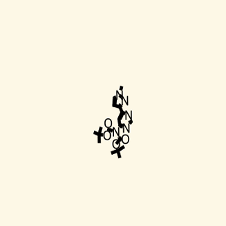 Cn1ccc(-c2cc(N(C(=O)OC(C)(C)C)C(=O)OC(C)(C)C)ncn2)n1